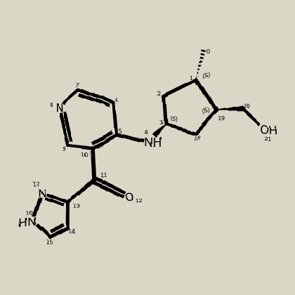 C[C@H]1C[C@H](Nc2ccncc2C(=O)c2cc[nH]n2)C[C@@H]1CO